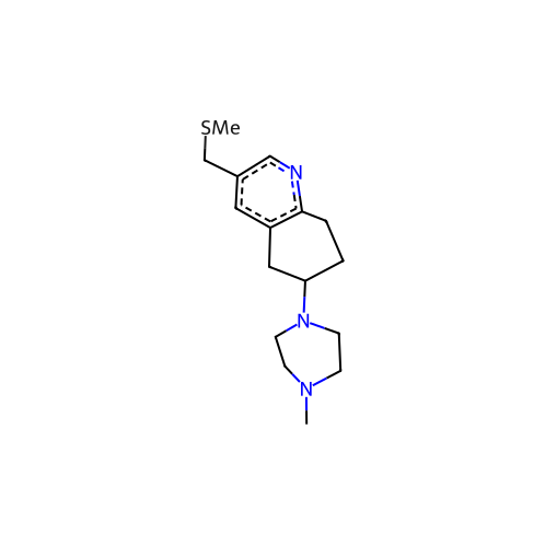 CSCc1cnc2c(c1)CC(N1CCN(C)CC1)CC2